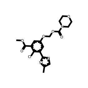 COC(=O)c1cc(OCOC(=O)N2CCOCC2)cc(-c2ncc(C)s2)c1Cl